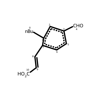 CCCCc1cc(C=O)ccc1/C=C/C(=O)O